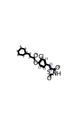 O=C(CCC1CCCCC1)Oc1ccc(/C=C2\SC(=O)NC2=O)cc1Cl